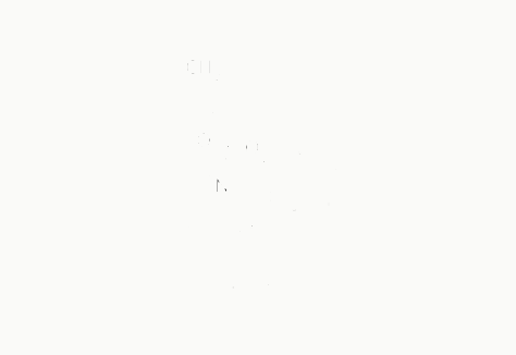 C=CCOC(=O)N1CCc2ccccc2C1c1ccccc1